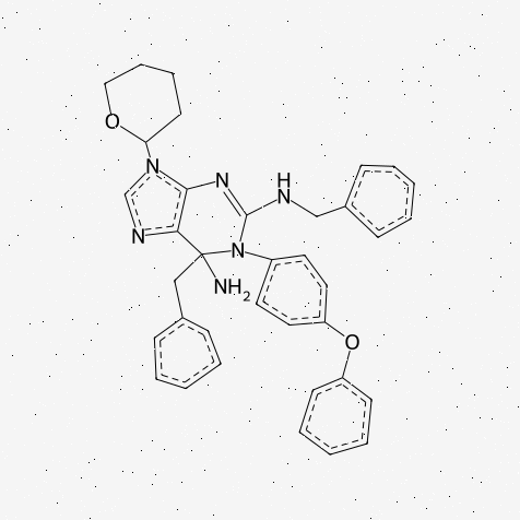 NC1(Cc2ccccc2)c2ncn(C3CCCCO3)c2N=C(NCc2ccccc2)N1c1ccc(Oc2ccccc2)cc1